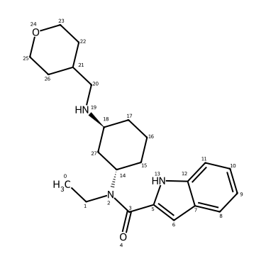 CCN(C(=O)c1cc2ccccc2[nH]1)[C@H]1CCC[C@H](NCC2CCOCC2)C1